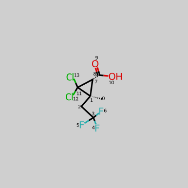 C[C@@]1(CC(F)(F)F)[C@@H](C(=O)O)C1(Cl)Cl